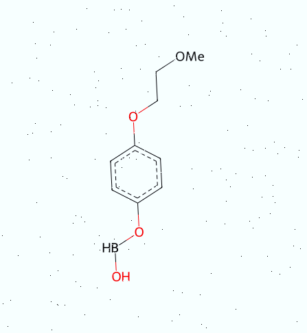 COCCOc1ccc(OBO)cc1